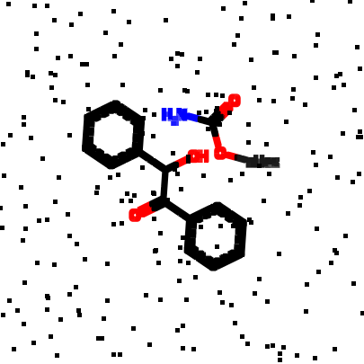 CCCCCCOC(N)=O.O=C(c1ccccc1)C(O)c1ccccc1